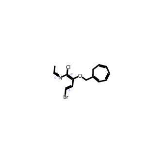 C\C=N/C(Cl)=C(\C=C\Br)OCC1=CC=CC=CC1